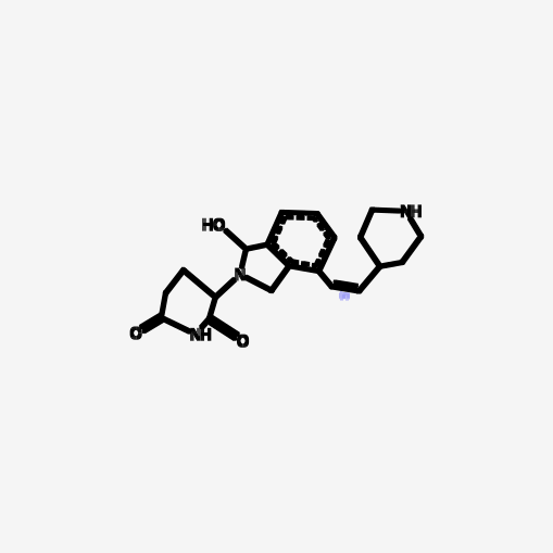 O=C1CCC(N2Cc3c(/C=C\C4CCNCC4)cccc3C2O)C(=O)N1